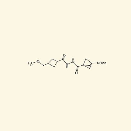 CC(=O)NC12CC(C(=O)NNC(=O)C3CC(COC(F)(F)F)C3)(C1)C2